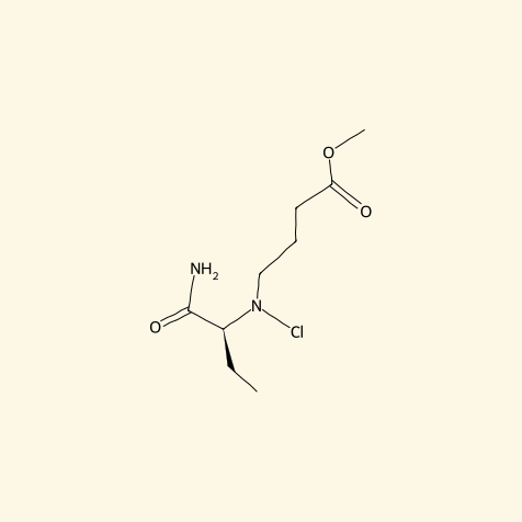 CC[C@@H](C(N)=O)N(Cl)CCCC(=O)OC